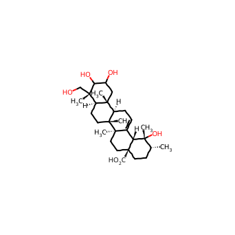 C[C@@H]1CC[C@]2(C(=O)O)CC[C@]3(C)C(=CC[C@@H]4[C@@]5(C)CC(O)C(O)[C@@](C)(CO)[C@@H]5CC[C@]43C)[C@@H]2[C@]1(C)O